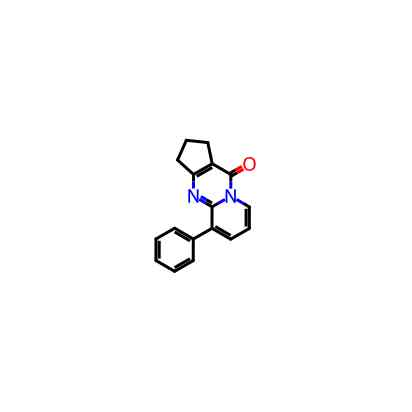 O=c1c2c(nc3c(-c4ccccc4)cccn13)CCC2